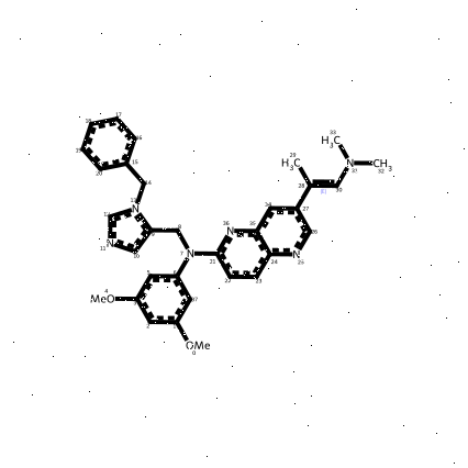 COc1cc(OC)cc(N(Cc2cncn2Cc2ccccc2)c2ccc3ncc(/C(C)=C/N(C)C)cc3n2)c1